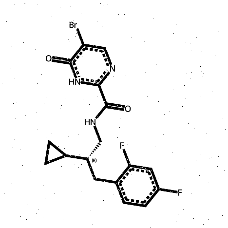 O=C(NC[C@H](Cc1ccc(F)cc1F)C1CC1)c1ncc(Br)c(=O)[nH]1